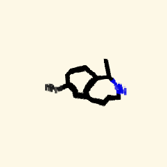 CCCc1ccc2c(c1)CCNC2C